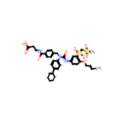 CCCCOc1ccc(NC(=O)N(Cc2ccc(C(=O)NCCC(=O)O)cc2)c2ccc(C3CCCCC3)cc2)cc1S(=O)(=O)CS(C)(=O)=O